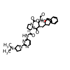 CN(C)[C@H]1CCN(c2nccc(NC(=O)[C@@H]3CCN(C(=O)O)N3C(=O)[C@H](CC3CCCC3)CN(C=O)OCc3ccccc3)n2)C1